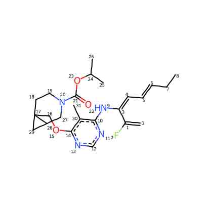 C=C(F)/C(=C\C=C\CC)Nc1ncnc(OCC23CCN(C(=O)OC(C)C)CC2C3)c1C